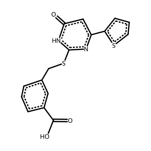 O=C(O)c1cccc(CSc2nc(-c3cccs3)cc(=O)[nH]2)c1